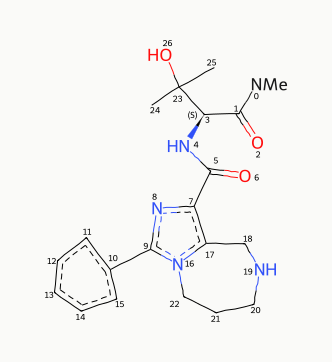 CNC(=O)[C@@H](NC(=O)c1nc(-c2ccccc2)n2c1CNCCC2)C(C)(C)O